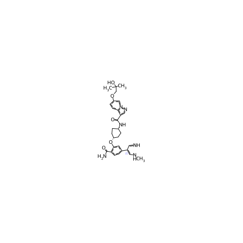 CN/C=C(\C=N)c1ccc(C(N)=O)c(O[C@H]2CC[C@H](NC(=O)c3cnn4cc(OCC(C)(C)O)ccc34)CC2)c1